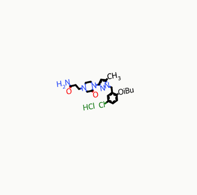 Cc1cc(N2CCN(CCC(N)=O)CC2=O)nn1Cc1cc(Cl)ccc1OCC(C)C.Cl